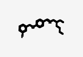 CCCCC(CC)CN=Cc1ccc(OCc2cccc(F)c2)cc1